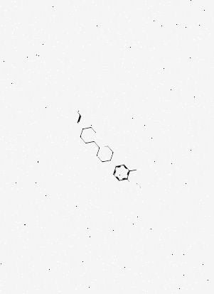 N#Cc1ccc([C@H]2CC[C@H]([C@H]3CC[C@H](C=CF)CC3)CC2)cc1F